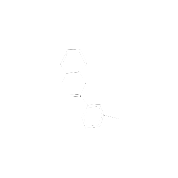 Cc1cccc(C(=O)CN2C=CC=CC2Cl)c1